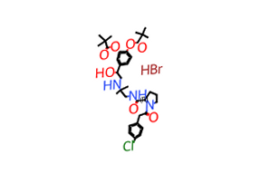 Br.CC(C)(CNC(=O)[C@H]1CCCN1C(=O)Cc1ccc(Cl)cc1)NCC(O)c1ccc(OC(=O)C(C)(C)C)c(OC(=O)C(C)(C)C)c1